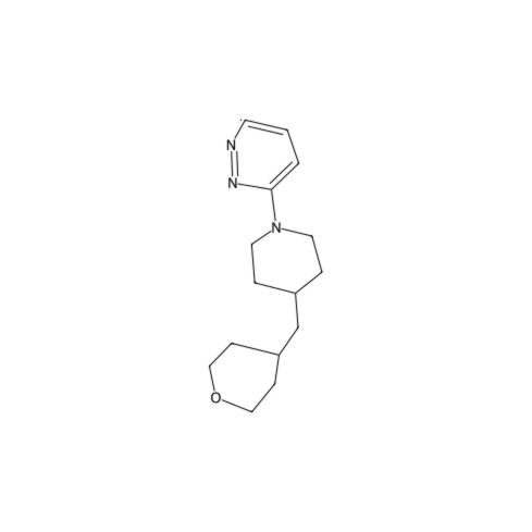 [c]1ccc(N2CCC(CC3CCOCC3)CC2)nn1